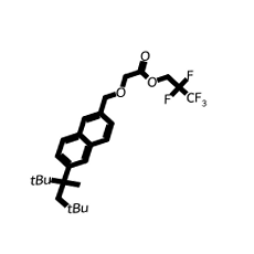 CC(C)(C)CC(C)(c1ccc2cc(COCC(=O)OCC(F)(F)C(F)(F)F)ccc2c1)C(C)(C)C